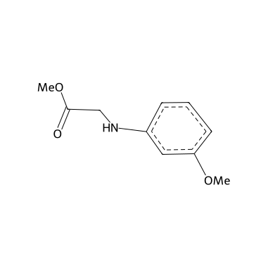 COC(=O)CNc1cccc(OC)c1